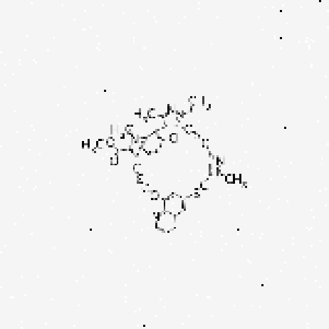 CCn1nc(C)c2c1CSCc1cc(n(C)n1)CSc1cc(c3ncccc3c1)OCCCc1c(C(=O)OC)n(C)c3c-2c(Cl)ccc13